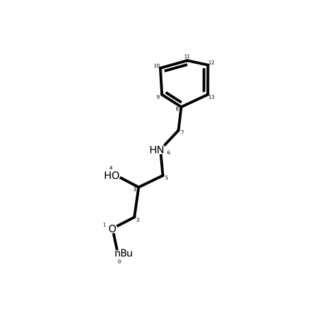 CCCCOCC(O)CNCc1ccccc1